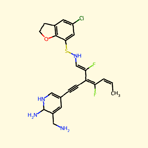 C\C=C/C(F)=C(C#CC1=CNC(N)C(CN)=C1)\C(F)=C\NSc1cc(Cl)cc2c1OCC2